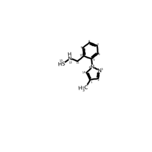 Cc1cnn(-c2ccccc2CNS)c1